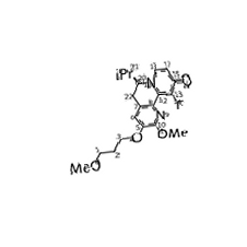 COCCCOc1cc2c(nc1OC)-c1c(F)c(=O)ccn1[C@H](C(C)C)C2